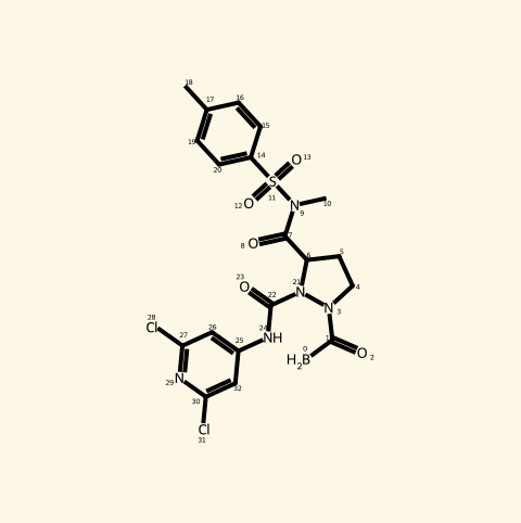 BC(=O)N1CCC(C(=O)N(C)S(=O)(=O)c2ccc(C)cc2)N1C(=O)Nc1cc(Cl)nc(Cl)c1